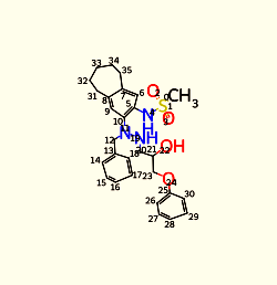 CS(=O)(=O)Nc1cc2c(cc1N(Cc1ccccc1)NCC(O)COc1ccccc1)CCCCC2